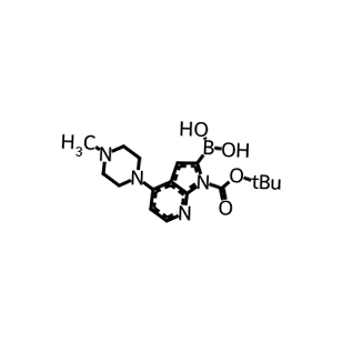 CN1CCN(c2ccnc3c2cc(B(O)O)n3C(=O)OC(C)(C)C)CC1